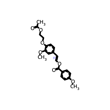 COc1ccc(C(=O)O/C=C/c2ccc(OCCOC(C)=O)c(OC)c2)cc1